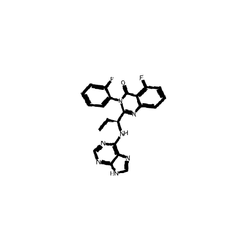 CC[C@H](Nc1ncnc2[nH]cnc12)c1nc2cccc(F)c2c(=O)n1-c1ccccc1F